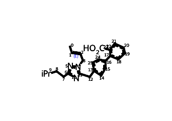 C/C=C/Cn1nc(CCC(C)C)nc1Cc1ccc(-c2ccccc2C(=O)O)cc1